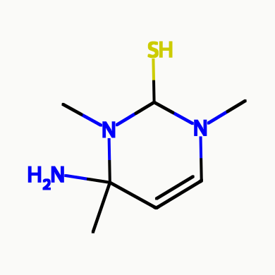 CN1C=CC(C)(N)N(C)C1S